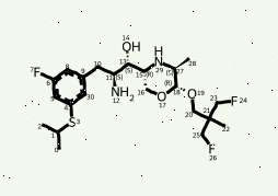 CC(C)Sc1cc(F)cc(C[C@H](N)[C@H](O)[C@H]2CO[C@@H](OCC(C)(CF)CF)[C@H](C)N2)c1